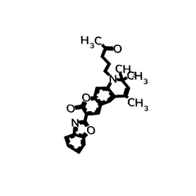 CC(=O)CCCN1c2cc3oc(=O)c(-c4nc5ccccc5o4)cc3cc2C(C)=CC1(C)C